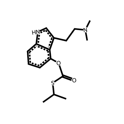 CC(C)SC(=O)Oc1cccc2[nH]cc(CCN(C)C)c12